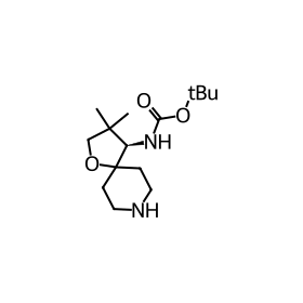 CC(C)(C)OC(=O)N[C@@H]1C(C)(C)COC12CCNCC2